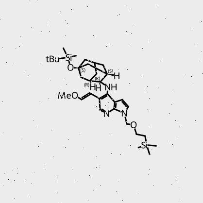 COC=Cc1cnc2c(ccn2COCC[Si](C)(C)C)c1N[C@H]1[C@@H]2CC3C[C@H]1C[C@@](O[Si](C)(C)C(C)(C)C)(C3)C2